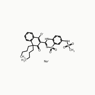 CCCCC1(CCCC)C(=O)C(C2=NS(=O)(=O)c3cc(NS(C)(=O)=O)ccc3N2)=C([O-])c2ccccc21.[Na+]